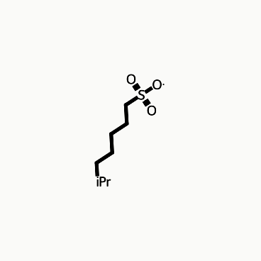 CC(C)CCCCCS([O])(=O)=O